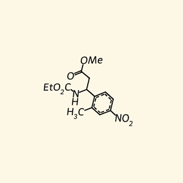 CCOC(=O)NC(CC(=O)OC)c1ccc([N+](=O)[O-])cc1C